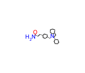 NC(=O)/C=C/c1ccc(Cn2c(-c3ccccc3)cc3ccccc32)cc1